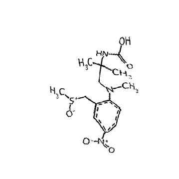 CN(CC(C)(C)NC(=O)O)c1ccc([N+](=O)[O-])cc1C[S+](C)[O-]